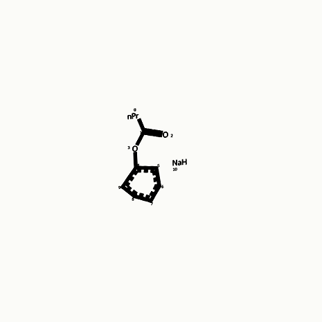 CCCC(=O)Oc1ccccc1.[NaH]